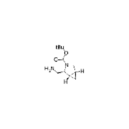 CC(C)(C)OC(=O)N1C[C@@H]2C[C@@H]2[C@H]1CN